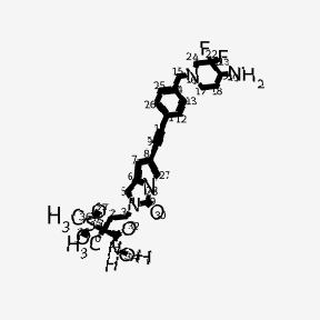 CC(CCN1Cc2cc(C#Cc3ccc(CN4CCC(N)C(F)(F)C4)cc3)cn2C1=O)(C(=O)NO)S(C)(=O)=O